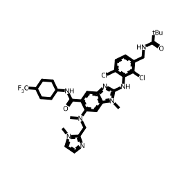 CN(Cc1nccn1C)c1cc2c(cc1C(=O)NC1CCC(C(F)(F)F)CC1)nc(Nc1c(Cl)ccc(CNC(=O)C(C)(C)C)c1Cl)n2C